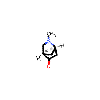 CN1C[C@H]2C[C@@H]1CC2=O